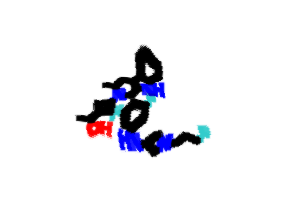 C[C@H](O)C12CC(N3[C@@H](c4c(F)cc(NC5CN(CCCF)C5)cc4F)c4[nH]c5ccccc5c4C[C@@H]3C)(C1)C2